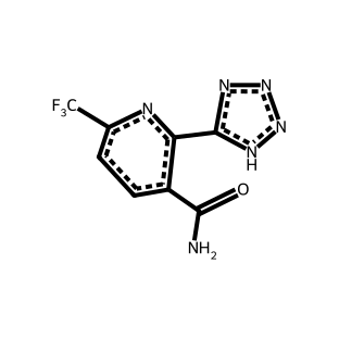 NC(=O)c1ccc(C(F)(F)F)nc1-c1nnn[nH]1